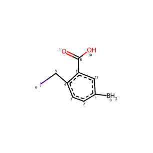 Bc1ccc(CI)c(C(=O)O)c1